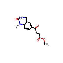 COC(=O)CCC(=O)c1ccc2c(c1)CNC(=O)N2C